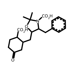 CC1(C)OC(CC2CC(=O)CCC2C(=O)O)C(Cc2ccccc2)N1C(=O)O